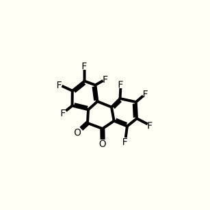 O=C1C(=O)c2c(F)c(F)c(F)c(F)c2-c2c(F)c(F)c(F)c(F)c21